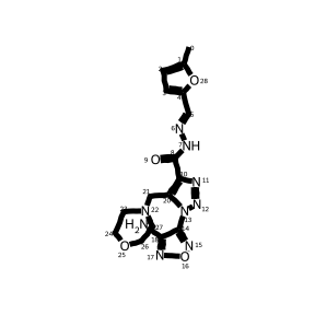 Cc1ccc(/C=N/NC(=O)c2nnn(-c3nonc3N)c2CN2CCOCC2)o1